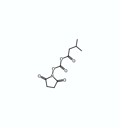 CC(C)CC(=O)OC(=O)ON1C(=O)CCC1=O